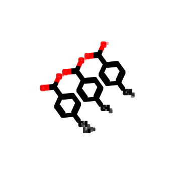 Cc1ccc(C(=O)[O-])cc1.Cc1ccc(C(=O)[O-])cc1.Cc1ccc(C(=O)[O-])cc1.[La+3]